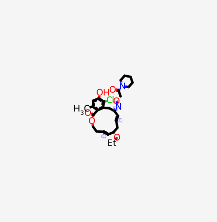 CCOC1/C=C/CCOC(=O)c2c(C)cc(O)c(Cl)c2CC(=N\OCC(=O)N2CCCCC2)/C=C/C1